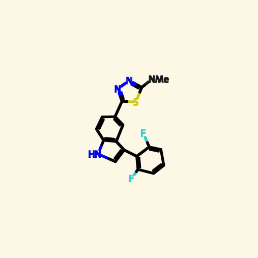 CNc1nnc(-c2ccc3[nH]cc(-c4c(F)cccc4F)c3c2)s1